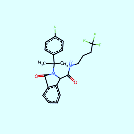 CC(C)(c1ccc(F)cc1)N1C(=O)c2ccccc2C1C(=O)NCCCC(F)(F)F